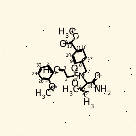 C=CCS(=O)(=O)N(Cc1ccc(C(=O)OC)cc1)C(C(N)=O)C(C)C.COc1ccccc1